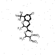 [2H]C([2H])([2H])c1cc(Cl)cc2c1OC(C(F)(F)F)C(C(=O)OC(C)C(O[N+](=O)[O-])O[N+](=O)[O-])=C2